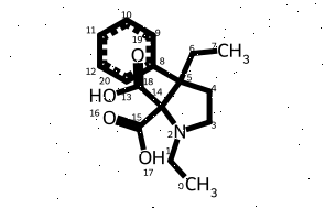 CCN1CCC(CC)(c2ccccc2)C1(C(=O)O)C(=O)O